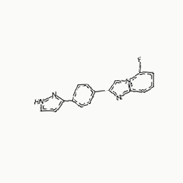 Fc1cccc2nc(-c3ccc(-c4cc[nH]n4)cc3)cn12